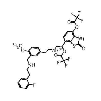 COc1ccc(CCNC[C@H](OC(=O)C(F)(F)F)c2ccc(OC(=O)C(F)(F)F)c3[nH]c(=O)sc23)cc1CNCCc1ccccc1F